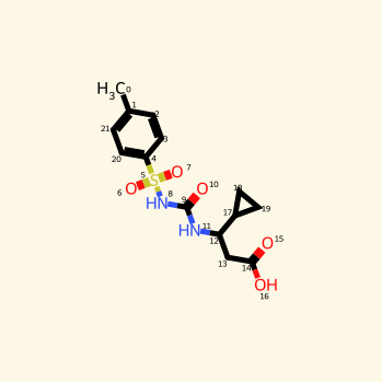 Cc1ccc(S(=O)(=O)NC(=O)NC(CC(=O)O)C2CC2)cc1